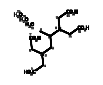 CC(CN(CC(=O)O)CC(=O)O)N(CC(=O)O)CC(=O)O.O.O.O